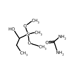 CCC(O)[Si](C)(OC)OC.NC(N)=O